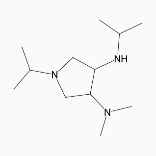 CC(C)NC1CN(C(C)C)CC1N(C)C